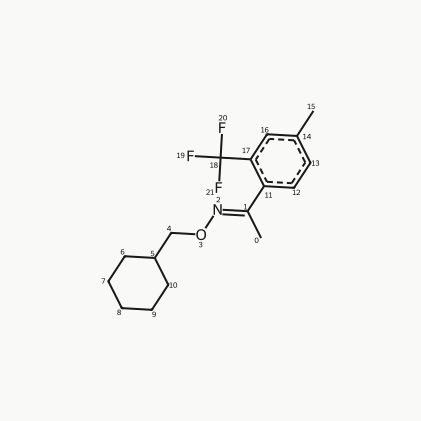 C/C(=N\OCC1CCCCC1)c1ccc(C)cc1C(F)(F)F